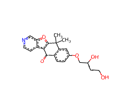 CC1(C)c2cc(OCC(O)CCO)ccc2C(=O)c2c1oc1cnccc21